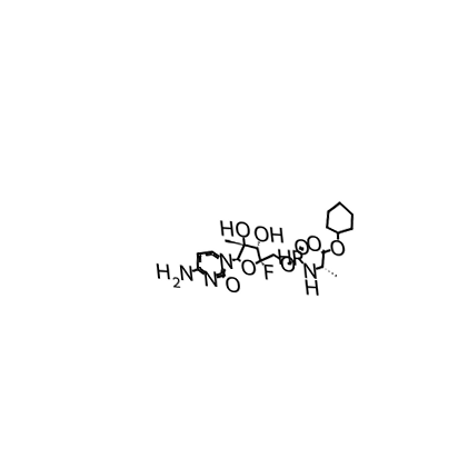 C[C@H](N[PH](=O)OC[C@@]1(F)O[C@@H](n2ccc(N)nc2=O)[C@](C)(O)[C@@H]1O)C(=O)OC1CCCCC1